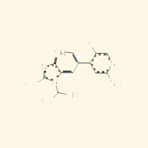 C=c1nc(C)n(C(C)C)/c1=C/C(=C\C)c1cc(N)ncc1F